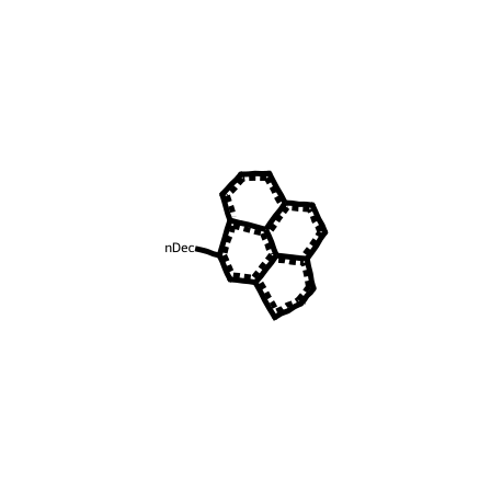 CCCCCCCCCCc1cc2c[c]cc3ccc4cccc1c4c32